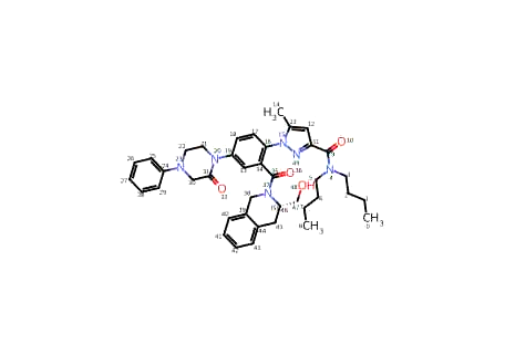 CCCCN(CCCC)C(=O)c1cc(C)n(-c2ccc(N3CCN(c4ccccc4)CC3=O)cc2C(=O)N2Cc3ccccc3C[C@H]2CO)n1